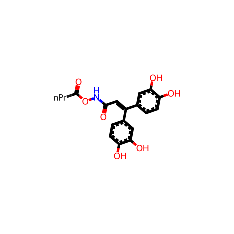 CCCC(=O)ONC(=O)C=C(c1ccc(O)c(O)c1)c1ccc(O)c(O)c1